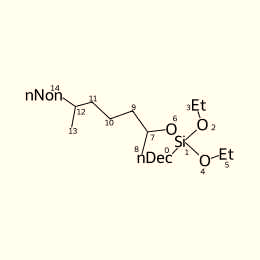 CCCCCCCCCC[Si](OCC)(OCC)OC(C)CCCC(C)CCCCCCCCC